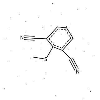 CSc1c(C#N)c[c]cc1C#N